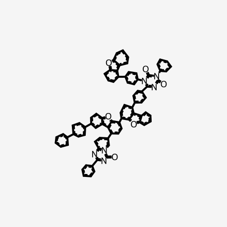 O=c1nc(-c2ccc(-c3ccc(-c4ccc(-c5ccc6nc(-c7ccccc7)nc(=O)n6c5)c5c4oc4ccc(-c6ccc(-c7ccccc7)cc6)cc45)c4oc5ccccc5c34)cc2)n(-c2ccc(-c3cccc4oc5ccccc5c34)cc2)c(=O)n1-c1ccccc1